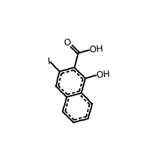 O=C(O)c1c(I)cc2ccccc2c1O